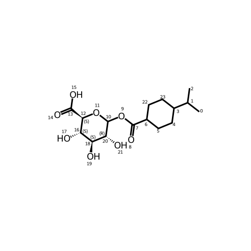 CC(C)C1CCC(C(=O)OC2O[C@H](C(=O)O)[C@@H](O)[C@H](O)[C@H]2O)CC1